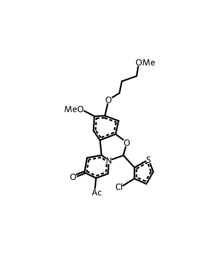 COCCCOc1cc2c(cc1OC)-c1cc(=O)c(C(C)=O)cn1C(c1sccc1Cl)O2